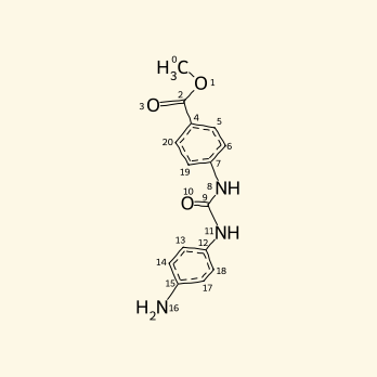 COC(=O)c1ccc(NC(=O)Nc2ccc(N)cc2)cc1